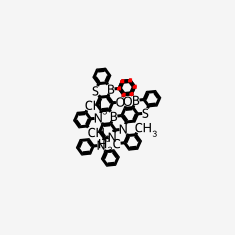 Cc1cccc(C)c1N1c2cc(N(c3ccccc3)c3ccccc3)nc3c2B(c2c1cc1c4c2Oc2ccccc2B4c2ccccc2S1)c1c(cc2c4c1Oc1ccccc1B4c1ccccc1S2)N3c1c(C)cccc1C